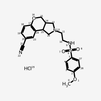 COc1ccc(S(=O)(=O)NCCN2CC3COc4ccc(C#N)cc4C3C2)cc1.Cl